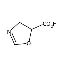 O=C(O)C1CN=CO1